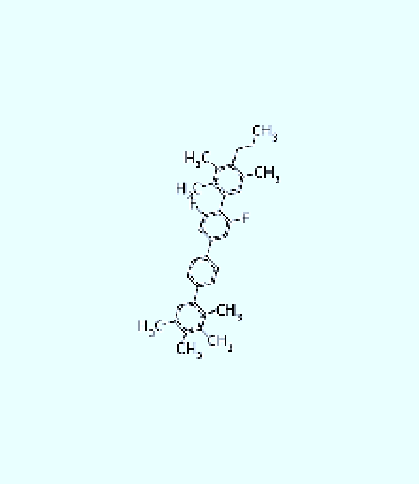 CCCc1c(C)cc(-c2c(F)cc(-c3ccc(-c4cc(C)c(C)c(C)c4C)cc3)cc2F)c(C)c1C